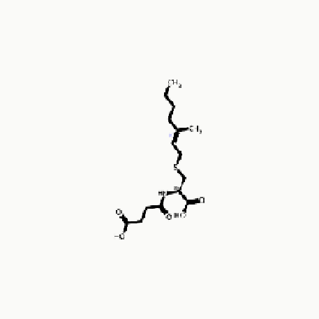 CCCC/C(C)=C/CSC[C@H](NC(=O)CCC(=O)O)C(=O)O